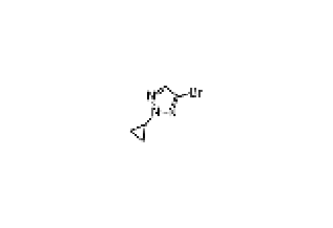 Brc1cnn(C2CC2)n1